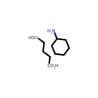 CCCCCCCCCCCC(=O)O.NC1CCCCC1